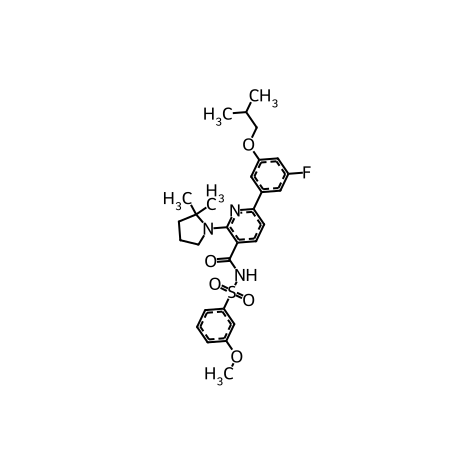 COc1cccc(S(=O)(=O)NC(=O)c2ccc(-c3cc(F)cc(OCC(C)C)c3)nc2N2CCCC2(C)C)c1